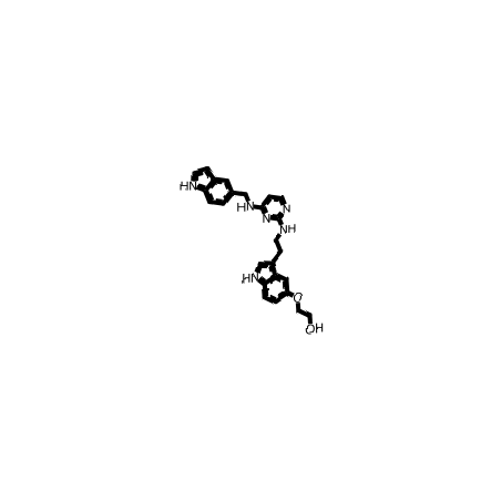 OCCOc1ccc2[nH]cc(CCNc3nccc(NCc4ccc5[nH]ccc5c4)n3)c2c1